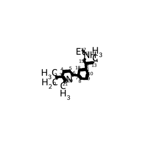 C=C(C)c1ccc(-c2cccc(/C(=C/C)CNCC)c2)nc1C